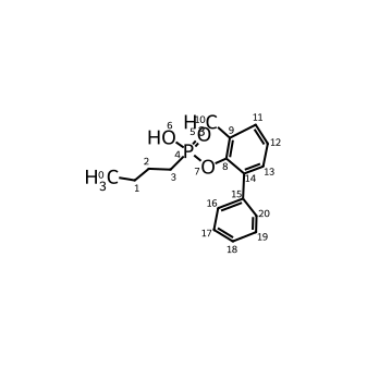 CCCCP(=O)(O)Oc1c(C)cccc1-c1ccccc1